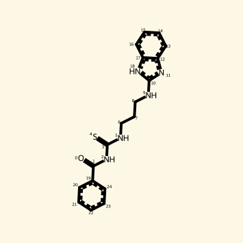 O=C(NC(=S)NCCCNc1nc2ccccc2[nH]1)c1ccccc1